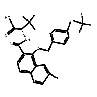 CC(C)(C)[C@H](NC(=O)c1ccc2ccc(F)cc2c1OCc1ccc(OC(F)(F)F)cc1)C(=O)O